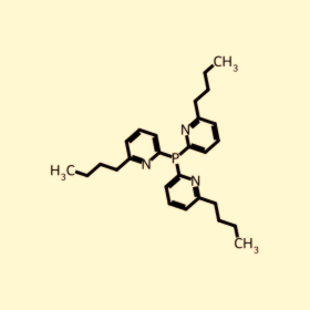 CCCCc1cccc(P(c2cccc(CCCC)n2)c2cccc(CCCC)n2)n1